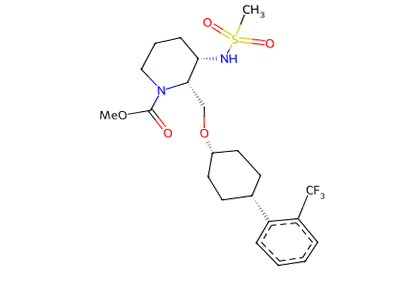 COC(=O)N1CCC[C@H](NS(C)(=O)=O)[C@@H]1CO[C@H]1CC[C@@H](c2ccccc2C(F)(F)F)CC1